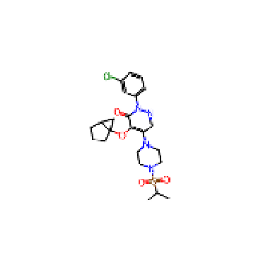 CC(C)S(=O)(=O)N1CCN(c2cnn(-c3cccc(Cl)c3)c(=O)c2OC23CCCC2C3)CC1